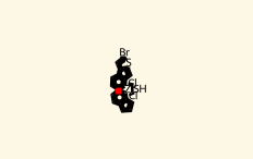 [SH][Zr]([Cl])([Cl])([c]1cccc2c1C=CC2)[c]1cccc2c1C=C1SC(Br)=CC12